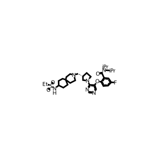 CCS(=O)(=O)NC1CCC2(CC1)CCN(C[C@@H]1CCN(c3ncncc3Oc3ccc(F)cc3C(=O)N(C(C)C)C(C)C)C1)CC2